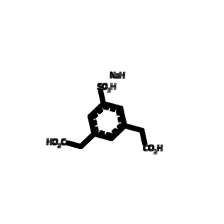 O=C(O)Cc1cc(CC(=O)O)cc(S(=O)(=O)O)c1.[NaH]